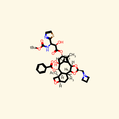 CC(=O)O[C@@]12CO[C@@H]1CC[C@@]1(C)[C@@H]3O[C@H](CN4CCC4)O[C@@H]3C3=C(C)[C@@H](OC(=O)[C@H](O)[C@@H](NC(=O)OC(C)(C)C)c4nccs4)C[C@@](O)([C@@H](OC(=O)c4ccccc4)[C@@H]12)C3(C)C